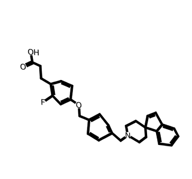 O=C(O)CCc1ccc(OCc2ccc(CN3CCC4(C=Cc5ccccc54)CC3)cc2)cc1F